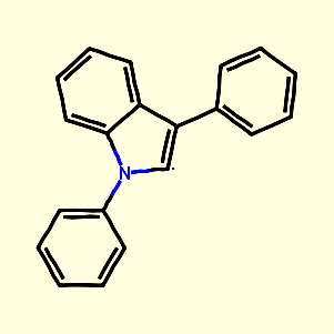 [c]1c(-c2ccccc2)c2ccccc2n1-c1ccccc1